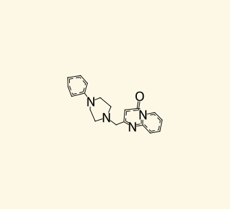 O=c1cc(CN2CCN(c3ccccc3)CC2)nc2ccccn12